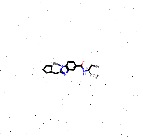 CCC(C)n1c(CC2CCCC2)nc2cc(C(=O)N[C@@H](CC(C)C)C(=O)O)ccc21